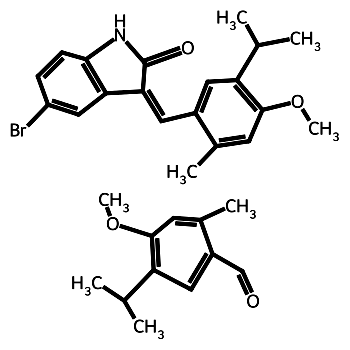 COc1cc(C)c(C=C2C(=O)Nc3ccc(Br)cc32)cc1C(C)C.COc1cc(C)c(C=O)cc1C(C)C